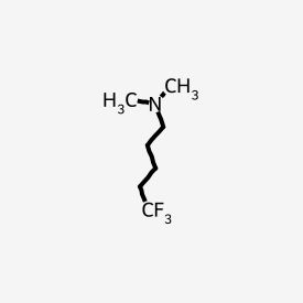 CN(C)CCCCC(F)(F)F